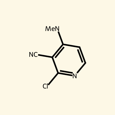 CNc1ccnc(Cl)c1C#N